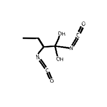 CCC(N=C=O)C(O)(O)N=C=O